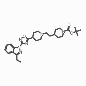 CCc1nn(-c2noc(C3CCN(CCC4CCN(C(=O)OC(C)(C)C)CC4)CC3)n2)c2ccccc12